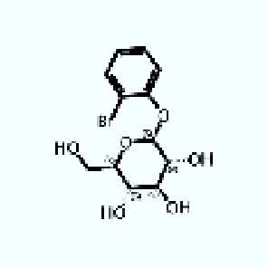 OC[C@H]1O[C@@H](Oc2ccccc2Br)[C@H](O)[C@@H](O)[C@@H]1O